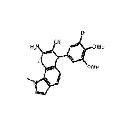 COc1cc(C2C(C#N)=C(N)Oc3c2ccc2ccn(C)c32)cc(Br)c1OC